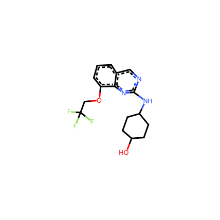 OC1CCC(Nc2ncc3cccc(OCC(F)(F)F)c3n2)CC1